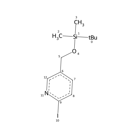 CC(C)(C)[Si](C)(C)OCc1ccc(I)nc1